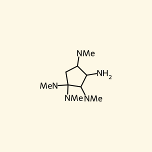 CNC1CC(NC)(NC)C(NC)C1N